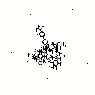 [2H]c1c([2H])c(CSc2nc(=O)c3c(n2CC(=O)N(CCN(C([2H])([2H])C)C([2H])([2H])C)C([2H])([2H])c2ccc(-c4ccc(C(F)(F)F)cc4)cc2)C([2H])([2H])C([2H])(C)C3([2H])[2H])c([2H])c([2H])c1F